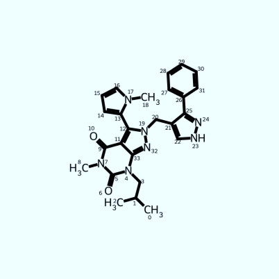 CC(C)Cn1c(=O)n(C)c(=O)c2c(-c3cccn3C)n(Cc3c[nH]nc3-c3ccccc3)nc21